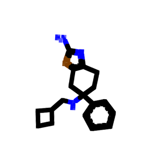 Nc1nc2c(s1)CC(NCC1CCC1)(c1ccccc1)CC2